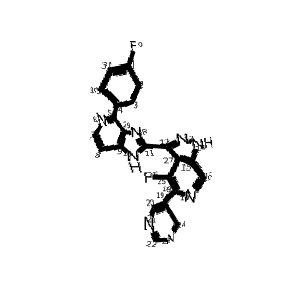 Fc1ccc(-c2nccc3[nH]c(-c4n[nH]c5cnc(-c6cncnc6)c(F)c45)nc23)cc1